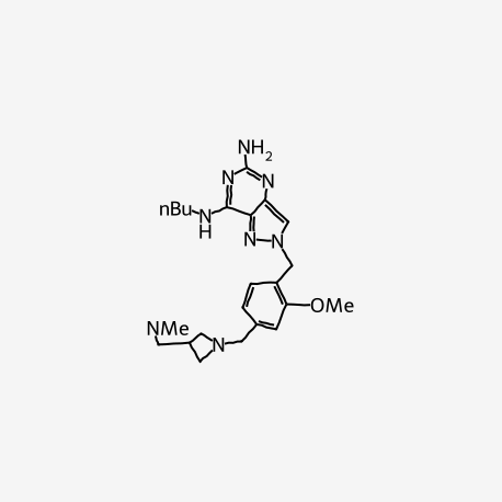 CCCCNc1nc(N)nc2cn(Cc3ccc(CN4CC(CNC)C4)cc3OC)nc12